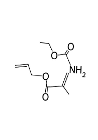 C=CCOC(=O)C(=C)C.CCOC(N)=O